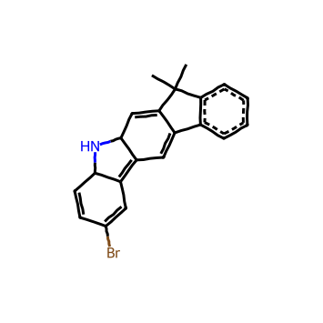 CC1(C)C2=CC3NC4C=CC(Br)=CC4=C3C=C2c2ccccc21